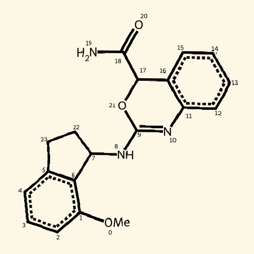 COc1cccc2c1C(NC1=Nc3cc[c]cc3C(C(N)=O)O1)CC2